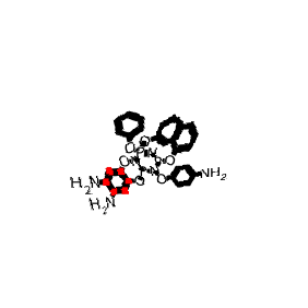 Nc1ccc(ON2P(Oc3ccccc3)N=P(Oc3ccccc3)(Oc3ccccc3)N(Oc3ccc(N)cc3)P2Oc2ccc(N)cc2)cc1